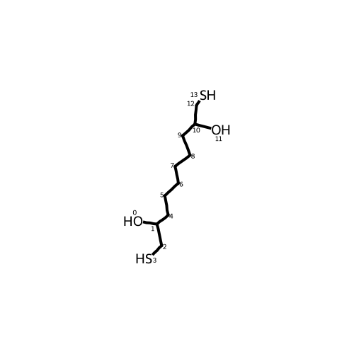 OC(CS)CCCCCCC(O)CS